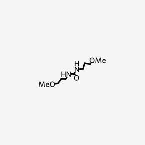 COCCCNC(=O)NCCCOC